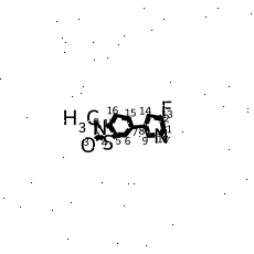 Cn1c(=O)sc2cc(-c3cncc(F)c3)ccc21